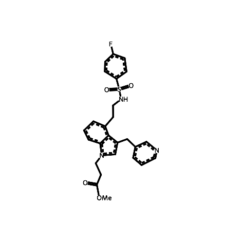 COC(=O)CCn1cc(Cc2cccnc2)c2c(CCNS(=O)(=O)c3ccc(F)cc3)cccc21